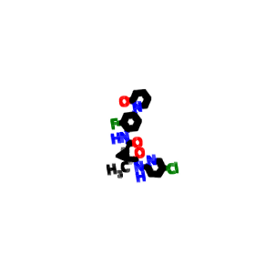 C[C@]1(C(=O)Nc2ccc(Cl)cn2)C[C@H]1C(=O)Nc1ccc(-n2ccccc2=O)cc1F